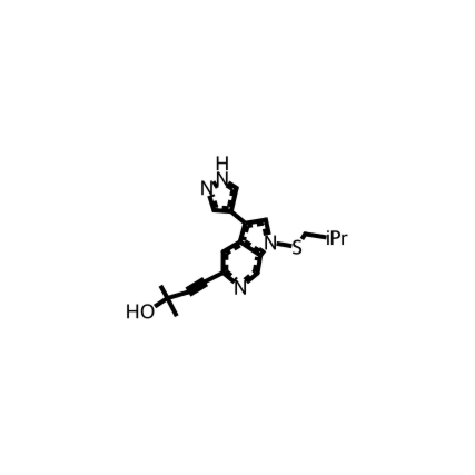 CC(C)CSn1cc(-c2cn[nH]c2)c2cc(C#CC(C)(C)O)ncc21